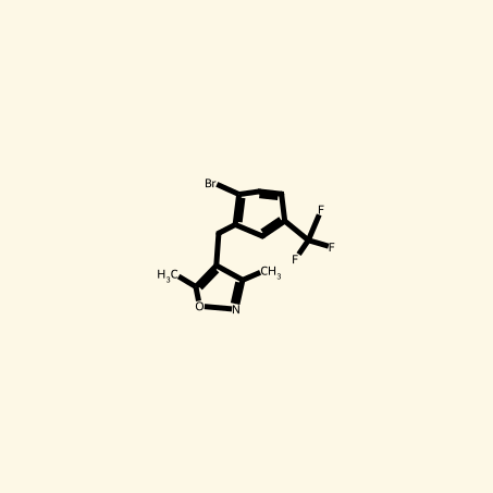 Cc1noc(C)c1Cc1cc(C(F)(F)F)ccc1Br